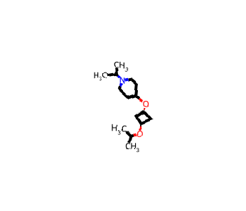 CC(C)O[C@H]1C[C@H](OC2CCN(C(C)C)CC2)C1